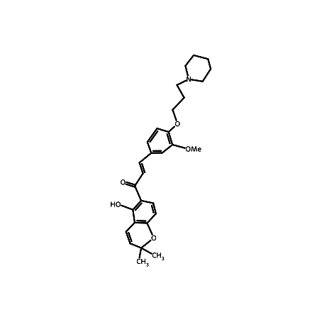 COc1cc(/C=C/C(=O)c2ccc3c(c2O)C=CC(C)(C)O3)ccc1OCCCN1CCCCC1